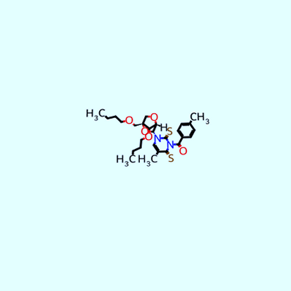 CCCCOC[C@@]12CO[C@@H](C1OCCCC)[C@H](n1cc(C)c(=S)n(C(=O)c3ccc(C)cc3)c1=S)O2